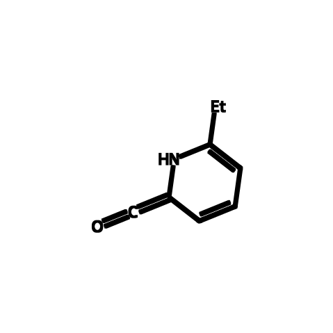 CCC1=CC=CC(=C=O)N1